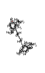 C[C@@H]1C(=O)N[C@@H](CCCNC(=N)N)C(=O)N[C@@H](Cc2ccc3ccccc3c2)C(=O)NCC(=O)N[C@H](Cc2ccc(O)cc2)C(=O)N1CCCCCCNC(=O)CCCCCCC(=O)NCCCCCCN1CC(=O)N[C@@H](CCCNC(=N)N)C(=O)N[C@@H](Cc2ccc3ccccc3c2)C(=O)NCC(=O)N[C@H](Cc2ccc(O)cc2)C1=O